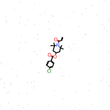 C=CC(=O)N1C(C)(C)CC(OC(=O)c2ccc(Cl)cc2)CC1(C)C